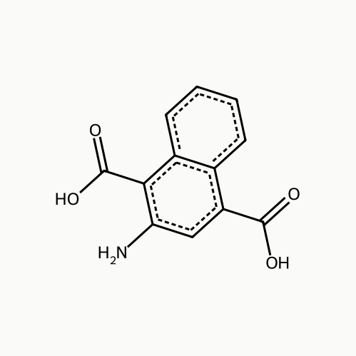 Nc1cc(C(=O)O)c2ccccc2c1C(=O)O